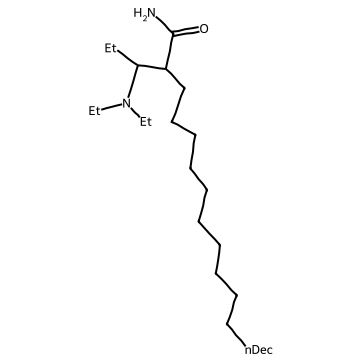 CCCCCCCCCCCCCCCCCCCCC(C(N)=O)C(CC)N(CC)CC